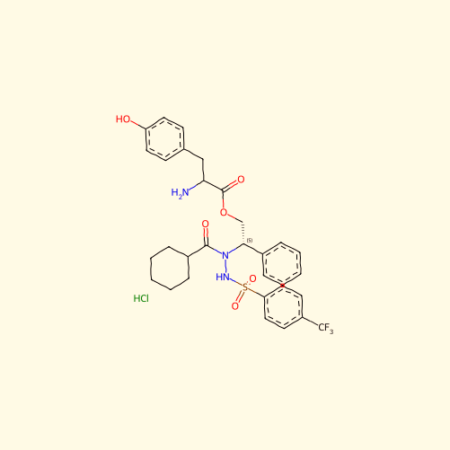 Cl.NC(Cc1ccc(O)cc1)C(=O)OC[C@H](c1ccccc1)N(NS(=O)(=O)c1ccc(C(F)(F)F)cc1)C(=O)C1CCCCC1